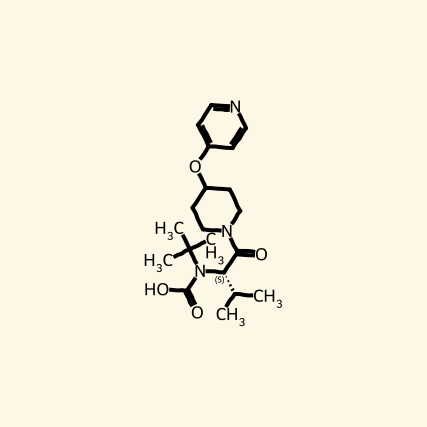 CC(C)[C@@H](C(=O)N1CCC(Oc2ccncc2)CC1)N(C(=O)O)C(C)(C)C